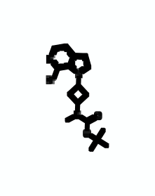 CN(C(=O)OC(C)(C)C)C1CC(n2ccc3ccnc(Br)c32)C1